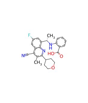 Cc1c(C2CCOCC2)nc2c([C@H](C)Nc3ccccc3C(=O)O)cc(F)cc2c1C#N